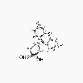 Cc1ccc2c(c1)Sc1cc(C)ccc1N2c1ccc(C=O)c(O)c1